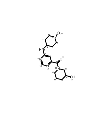 O=C(c1cc(NC2CC[S+]([O-])CC2)ncn1)N1CCCC(O)C1